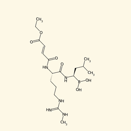 CCOC(=O)/C=C/C(=O)N[C@@H](CCCNC(=N)NC)C(=O)N[C@@H](CC(C)C)B(O)O